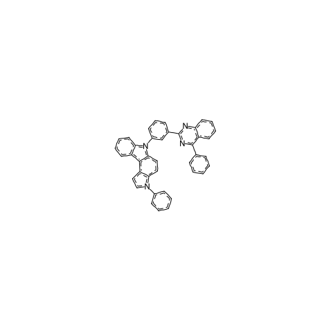 c1ccc(-c2nc(-c3cccc(-n4c5ccccc5c5c6ccn(-c7ccccc7)c6ccc54)c3)nc3ccccc23)cc1